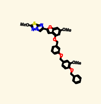 COc1cc(OCc2cccc(OCc3ccc(OCc4ccccc4)c(OC)c3)c2)c2cc(-c3cn4nc(OC)sc4n3)oc2c1